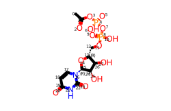 CC(=O)OP(=O)(O)OP(=O)(O)OC[C@H]1O[C@@H](n2ccc(=O)[nH]c2=O)[C@@H](O)C1O